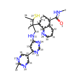 CNC(=O)c1ccc(C(C)(CNc2cc(-c3cnc(C)nc3)ncn2)C(C)S)c2ncccc12